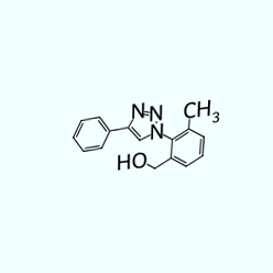 Cc1cccc(CO)c1-n1cc(-c2ccccc2)nn1